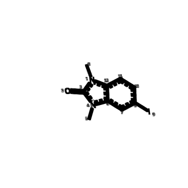 Cn1c(=O)n(C)c2cc(I)ccc21